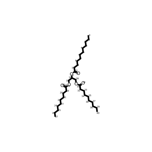 CCCCCCCCCCCC(=O)OC(COC(=O)CCCCCCCCC)COC(=O)CCCCCCCCC